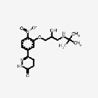 CC(C)(C)NCC(O)COc1cc(C2=NNC(=O)CC2)ccc1[N+](=O)[O-]